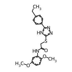 CCc1ccc(-c2nnc(SCC(=O)Nc3cc(OC)ccc3OC)[nH]2)cc1